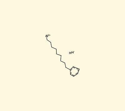 [Al+2][CH2]CCCCCCCCc1ccccc1.[H-].[H-]